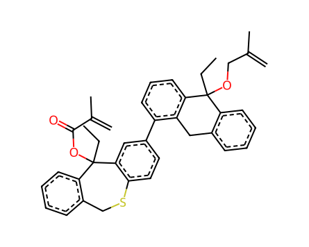 C=C(C)COC1(CC)c2ccccc2Cc2c(-c3ccc4c(c3)C(CC)(OC(=O)C(=C)C)c3ccccc3CS4)cccc21